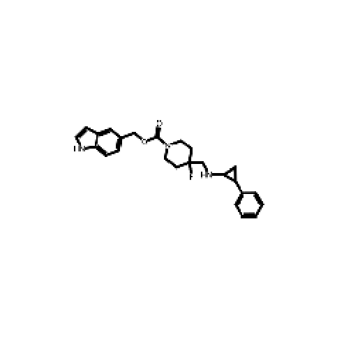 O=C(OCc1ccc2[nH]ccc2c1)N1CCC(F)(CNC2CC2c2ccccc2)CC1